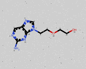 Nc1ncc2ncn(CCOCCO)c2n1